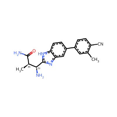 Cc1cc(-c2ccc3[nH]c([C@@H](N)[C@@H](C)C(N)=O)nc3c2)ccc1C#N